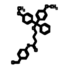 COc1ccc(C(OCCCC(=O)Sc2ccc([C]=O)cc2)(c2ccccc2)c2ccc(OC)cc2)cc1